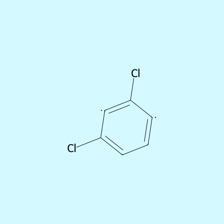 Clc1[c]ccc(Cl)[c]1